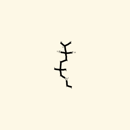 CCOCC(C)(C)CCC(F)(F)C(C)C